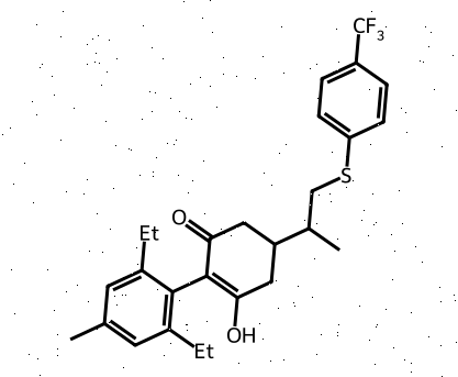 CCc1cc(C)cc(CC)c1C1=C(O)CC(C(C)CSc2ccc(C(F)(F)F)cc2)CC1=O